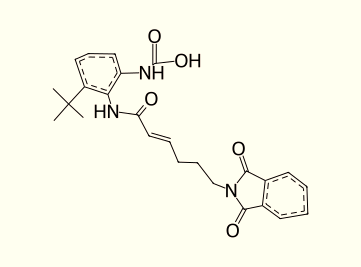 CC(C)(C)c1cccc(NC(=O)O)c1NC(=O)C=CCCCN1C(=O)c2ccccc2C1=O